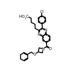 O=C(O)CCCCc1nc2cc(C(=O)N3CC(OCC4=CCCC=C4)C3)ccc2nc1-c1ccc(Cl)cc1